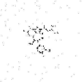 CC(O)CNc1nc2c(F)c(F)cc(C(=N)N(O)c3ccc(F)c(Cl)c3)c2[nH]1